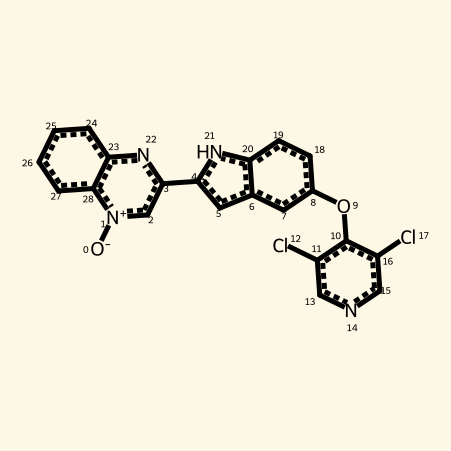 [O-][n+]1cc(-c2cc3cc(Oc4c(Cl)cncc4Cl)ccc3[nH]2)nc2ccccc21